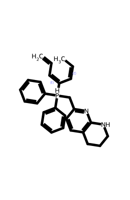 C=C/C=C(\C=C/C)[PH](Cc1ccc2c(n1)NCCC2)(c1ccccc1)c1ccccc1